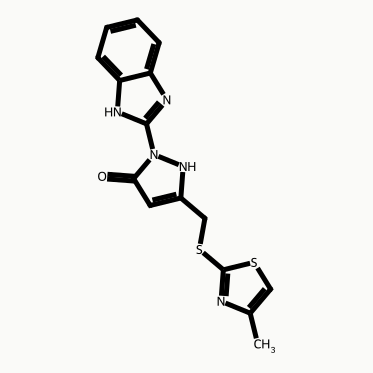 Cc1csc(SCc2cc(=O)n(-c3nc4ccccc4[nH]3)[nH]2)n1